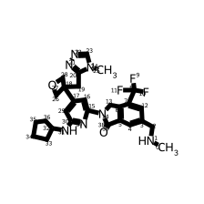 CNCc1cc2c(c(C(F)(F)F)c1)CN(c1cc(C3(Cc4nncn4C)COC3)cc(NC3CCCC3)n1)C2=O